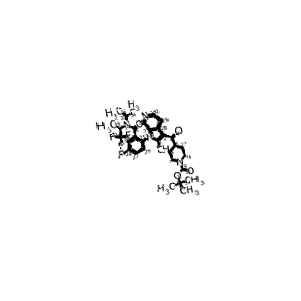 Cc1c(C(=O)C2CCN(C(=O)OC(C)(C)C)CC2)c2ccncc2n1-c1ccc(F)cc1C(=O)N(C(C)C)[C@H](C)C(F)(F)F